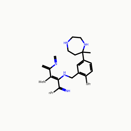 C=NC(=C)/C(NC)=C(\NCc1cc(C2(C)CCNCCN2)ccc1CCC)C(=N)CCC